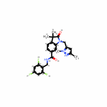 Cn1nc(C(F)(F)F)cc1CN1C(=O)C(C)(C)c2ccc(C(=O)NCc3c(F)cc(F)cc3F)cc21